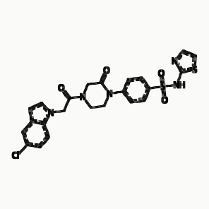 O=C(Cn1ccc2cc(Cl)ccc21)N1CCN(c2ccc(S(=O)(=O)Nc3nccs3)cc2)C(=O)C1